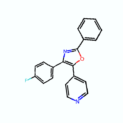 Fc1ccc(-c2nc(-c3ccccc3)oc2-c2ccncc2)cc1